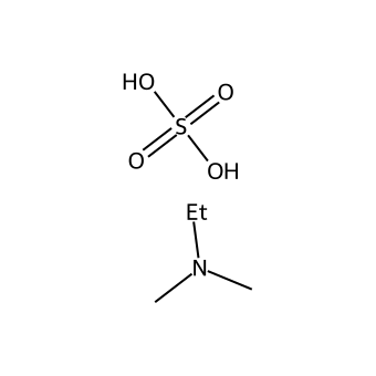 CCN(C)C.O=S(=O)(O)O